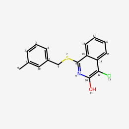 Cc1cccc(CSc2nc(O)c(Cl)c3ccccc23)c1